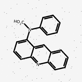 O=C(O)N(c1ccccc1)c1cccc2nc3ccccc3cc12